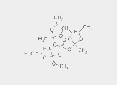 CCOC(C)(OC)OP(=O)(OC(C)(OC)OCC)OC(C)(OC)OCC